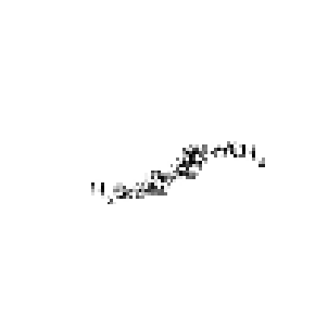 CCCCCCc1ccc(-c2ccc(CCC3CCC(CCCCCC)CC3)cc2)nc1